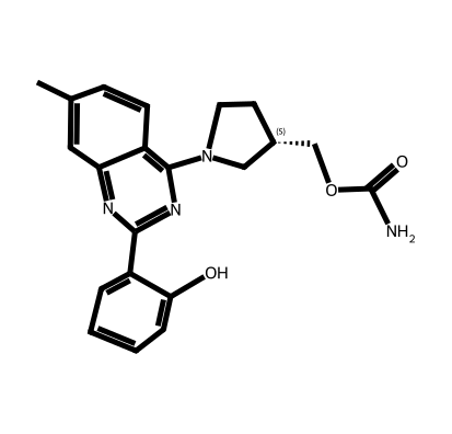 Cc1ccc2c(N3CC[C@H](COC(N)=O)C3)nc(-c3ccccc3O)nc2c1